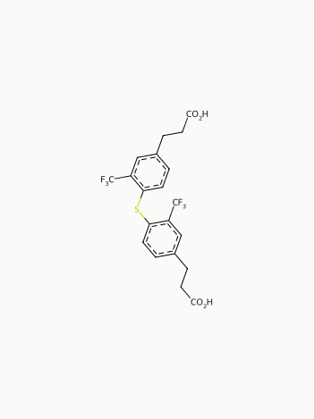 O=C(O)CCc1ccc(Sc2ccc(CCC(=O)O)cc2C(F)(F)F)c(C(F)(F)F)c1